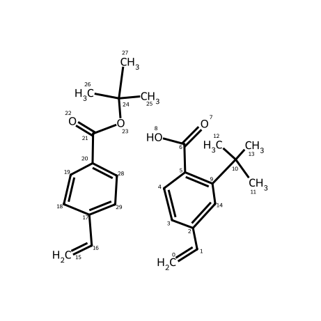 C=Cc1ccc(C(=O)O)c(C(C)(C)C)c1.C=Cc1ccc(C(=O)OC(C)(C)C)cc1